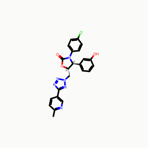 Cc1ccc(-c2nnn(C[C@@H]3OC(=O)N(c4ccc(Cl)cc4)[C@H]3c3cccc(O)c3)n2)cn1